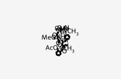 COC[C@H](NC(=O)c1cnc(C)s1)C(=O)N[C@@H](COC)C(=O)N[C@@H](Cc1ccccc1)C(=O)C(C)(CI)OC(=O)c1ccccc1COC(C)=O